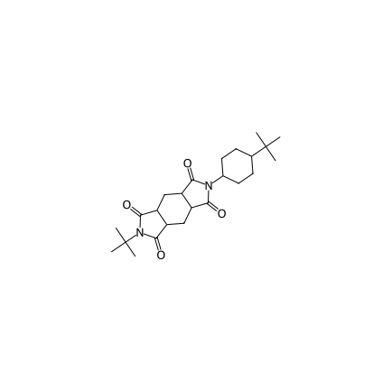 CC(C)(C)C1CCC(N2C(=O)C3CC4C(=O)N(C(C)(C)C)C(=O)C4CC3C2=O)CC1